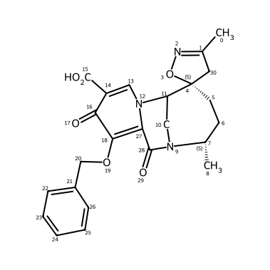 CC1=NO[C@@]2(CC[C@H](C)N3CC2n2cc(C(=O)O)c(=O)c(OCc4ccccc4)c2C3=O)C1